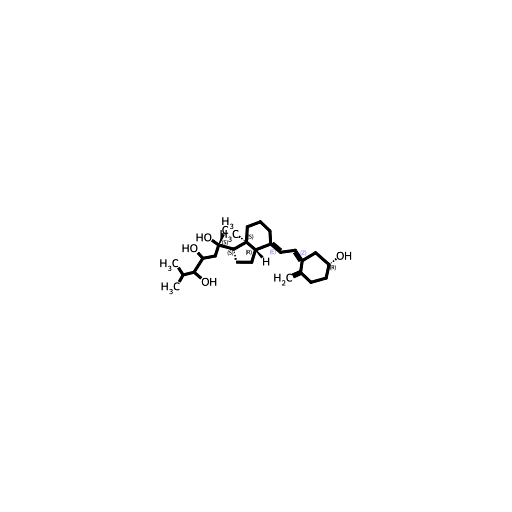 C=C1CC[C@@H](O)C/C1=C/C=C1\CCC[C@@]2(C)[C@H]1CC[C@@H]2[C@@](C)(O)CC(O)C(O)C(C)C